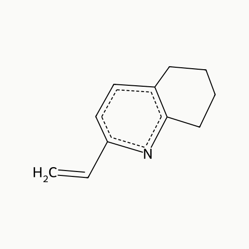 C=Cc1ccc2c(n1)CCCC2